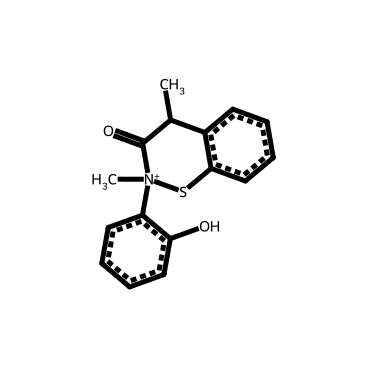 CC1C(=O)[N+](C)(c2ccccc2O)Sc2ccccc21